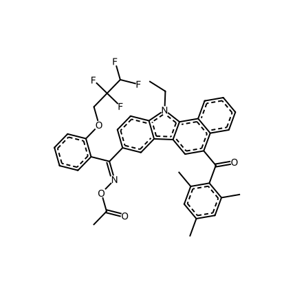 CCn1c2ccc(/C(=N/OC(C)=O)c3ccccc3OCC(F)(F)C(F)F)cc2c2cc(C(=O)c3c(C)cc(C)cc3C)c3ccccc3c21